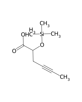 CC#CCC(O[Si](C)(C)C)C(=O)O